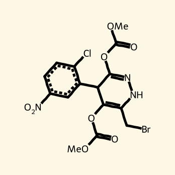 COC(=O)OC1=NNC(CBr)=C(OC(=O)OC)C1c1cc([N+](=O)[O-])ccc1Cl